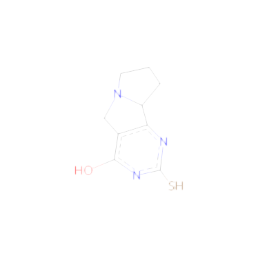 Oc1nc(S)nc2c1CN1CCCC21